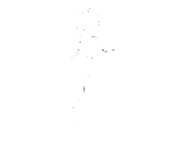 COCCCCN1C(=O)C2C3C=CC(O3)C2C1=O